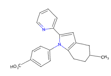 CC1CCc2c(cc(-c3ccccn3)n2-c2ccc(C(=O)O)cc2)C1